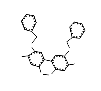 Cc1cc2c(cc1SCc1ccccc1)-c1cc(SCc3ccccc3)c(C)cc1SS2